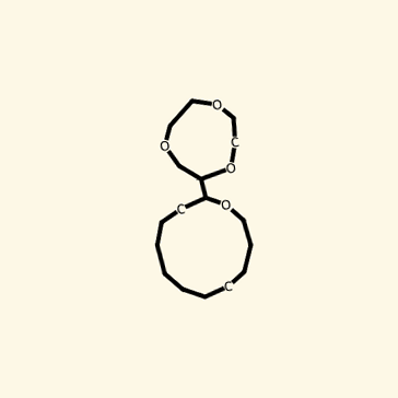 C1CCCCCC([C]2COCCOCCO2)OCCCC1